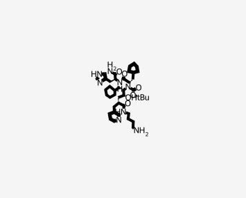 CC(C)(C)OC(=O)N([C@@H](Cc1ccccc1)C(=O)N[C@@H](Cc1c[nH]cn1)C(N)=O)[C@@H](CC1CCCCC1)[C@@H](O)C[C@@H](Cc1cccnc1)C(=O)NCCCCN